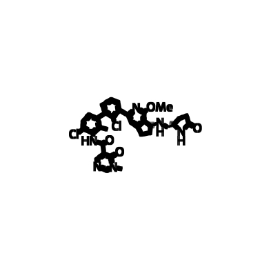 COc1nc(-c2cccc(-c3ccc(Cl)c(NC(=O)c4cncn(C)c4=O)c3C)c2Cl)cc2c1[C@@H](NC[C@@H]1CCC(=O)N1)CC2